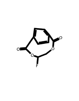 O=C1OCC(F)OC(=O)c2ccc1cc2